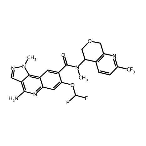 CN(C(=O)c1cc2c(cc1OC(F)F)nc(N)c1cnn(C)c12)C1COCc2nc(C(F)(F)F)ccc21